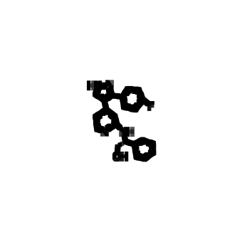 OC[C@H](Nc1cc(-c2c[nH]nc2-c2ccc(F)cc2)ccn1)c1ccccc1